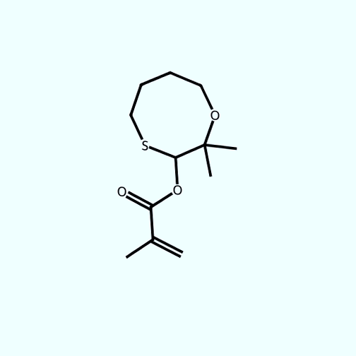 C=C(C)C(=O)OC1SCCCCOC1(C)C